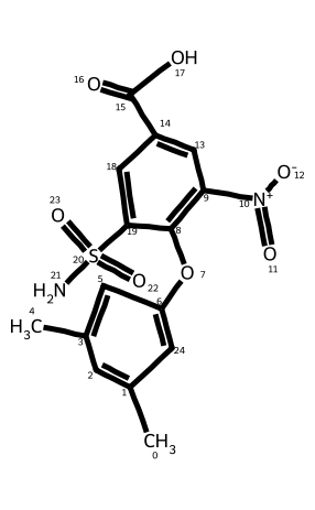 Cc1cc(C)cc(Oc2c([N+](=O)[O-])cc(C(=O)O)cc2S(N)(=O)=O)c1